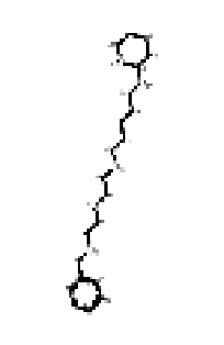 c1ccc(COCCOCCOCCCCCOC2CCCCO2)cc1